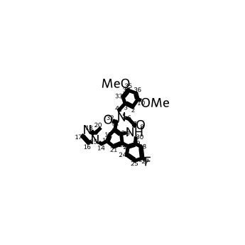 COc1cc(CN2CC(=O)Nc3c(cc(Cn4ccnc4C)cc3-c3ccc(F)cc3C)C2=O)cc(OC)c1